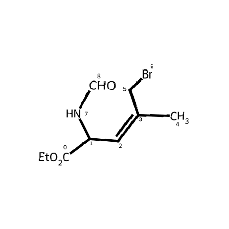 CCOC(=O)C(C=C(C)CBr)NC=O